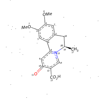 COc1cc2c(cc1OC)-c1cc(=O)c(C(=O)O)cn1[C@H](C)C2